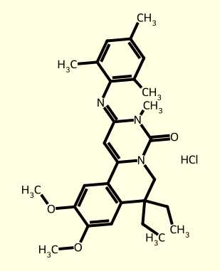 CCC1(CC)Cn2c(c/c(=N/c3c(C)cc(C)cc3C)n(C)c2=O)-c2cc(OC)c(OC)cc21.Cl